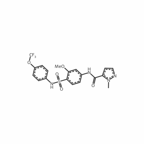 COc1cc(NC(=O)c2ccnn2C)ccc1S(=O)(=O)Nc1ccc(OC(F)(F)F)cc1